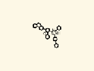 c1ccc(C2=NC(c3ccc(-c4ccc5c(ccc6ccccc65)c4)c4oc5ccccc5c34)=NC(c3ccc(-c4ccccc4)cc3)N2)cc1